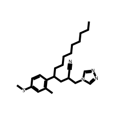 CCCCCCCCCC(CC(C#N)Cn1cnnc1)c1ccc(SC)cc1C